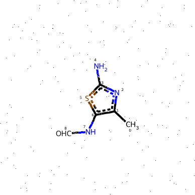 Cc1nc(N)sc1NC=O